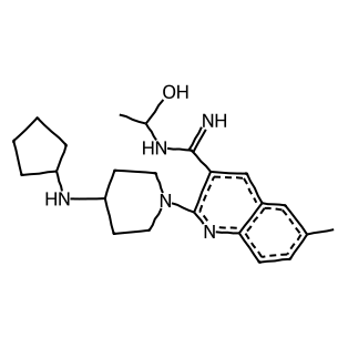 Cc1ccc2nc(N3CCC(NC4CCCC4)CC3)c(C(=N)NC(C)O)cc2c1